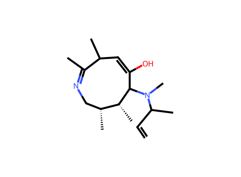 C=CC(C)N(C)C1/C(O)=C\C(C)/C(C)=N\C[C@@H](C)[C@H]1C